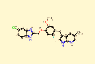 COc1cc(Cc2c[nH]c3ncc(C)cc23)c(F)cc1OCc1nc2cc(Cl)ccc2[nH]1